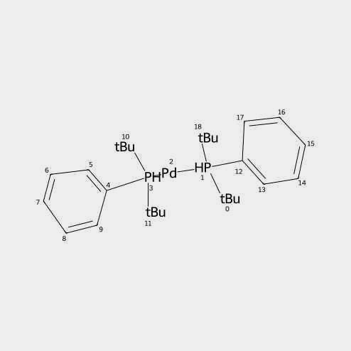 CC(C)(C)[PH]([Pd][PH](c1ccccc1)(C(C)(C)C)C(C)(C)C)(c1ccccc1)C(C)(C)C